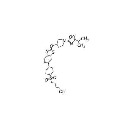 CC(C)c1noc(N2CCC(Oc3nc4ccc(C5=CCN(S(=O)(=O)CCCCO)CC5)cc4s3)CC2)n1